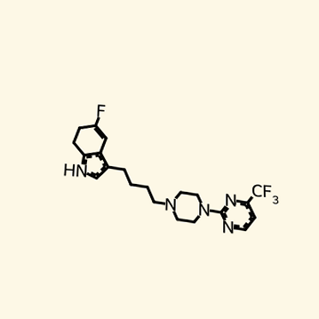 FC1=Cc2c(CCCCN3CCN(c4nccc(C(F)(F)F)n4)CC3)c[nH]c2CC1